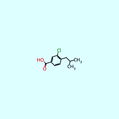 CC(C)Cc1ccc(C(=O)O)cc1Cl